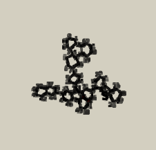 c1ccc(-c2ccc(-c3ccc(N(c4cccc(-c5cccc6c5sc5ccccc56)c4)c4cc(-c5ccc6ccccc6c5)ccc4-c4ccccc4)cc3)cc2-c2ccccc2)cc1